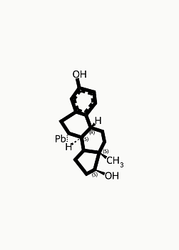 C[C@]12CC[C@H]3c4ccc(O)cc4CC[C@@H]3C1CC[C@@H]2O.[Pb]